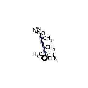 CC1=C(/C=C/C(C)=C/C=C/C(C)=C/C(=O)n2cncn2)C(C)(C)CCC1